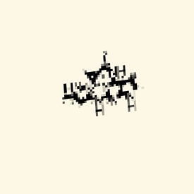 Cc1cc(Nc2nc(N[C@H](C)C3CC3)c3cc[nH]c3n2)n[nH]1